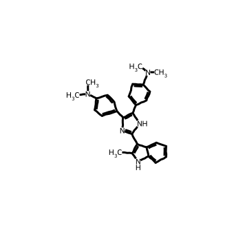 Cc1[nH]c2ccccc2c1-c1nc(-c2ccc(N(C)C)cc2)c(-c2ccc(N(C)C)cc2)[nH]1